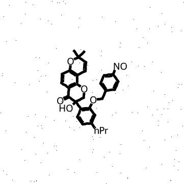 CCCc1ccc(C2(O)COc3c(ccc4c3C=CC(C)(C)O4)C2=O)c(OCc2ccc(N=O)cc2)c1